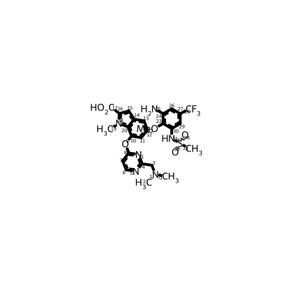 CN(C)Cc1nccc(Oc2cccc3cc(C(=O)O)n(C)c23)n1.COc1c(N)cc(C(F)(F)F)cc1NS(C)(=O)=O